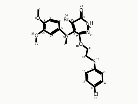 COc1ccc(N(C)c2c(OCCSc3ccc(Cl)cc3)n[nH]c(=O)c2Br)cc1OC